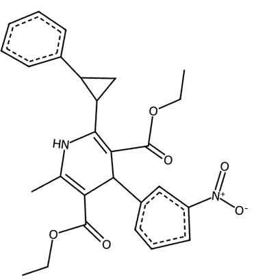 CCOC(=O)C1=C(C)NC(C2CC2c2ccccc2)=C(C(=O)OCC)C1c1cccc([N+](=O)[O-])c1